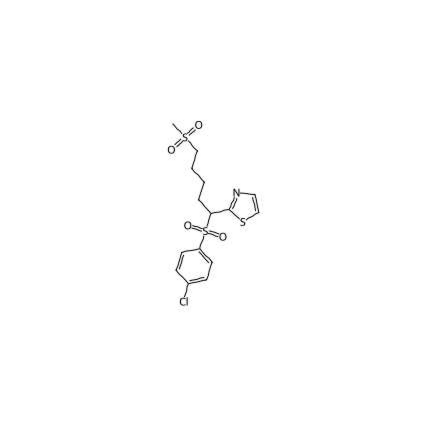 CS(=O)(=O)CCCCC(c1nccs1)S(=O)(=O)c1ccc(Cl)cc1